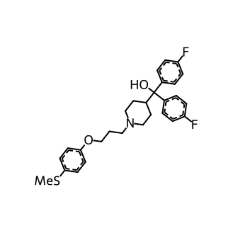 CSc1ccc(OCCCN2CCC(C(O)(c3ccc(F)cc3)c3ccc(F)cc3)CC2)cc1